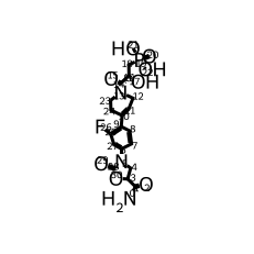 NC(=O)C1CN(c2ccc(C3=CCN(C(=O)[C@H](O)CP(=O)(O)O)CC3)c(F)c2)C(=O)O1